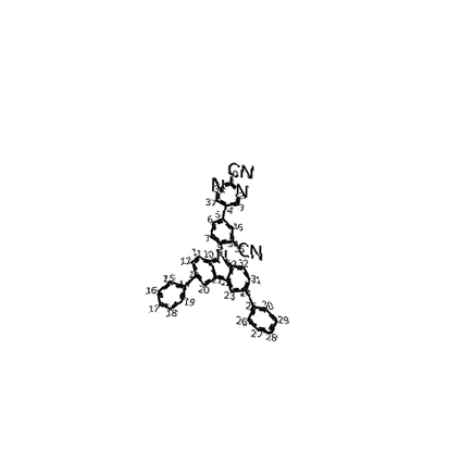 N#Cc1ncc(-c2ccc(-n3c4ccc(-c5ccccc5)cc4c4cc(-c5ccccc5)ccc43)c(C#N)c2)cn1